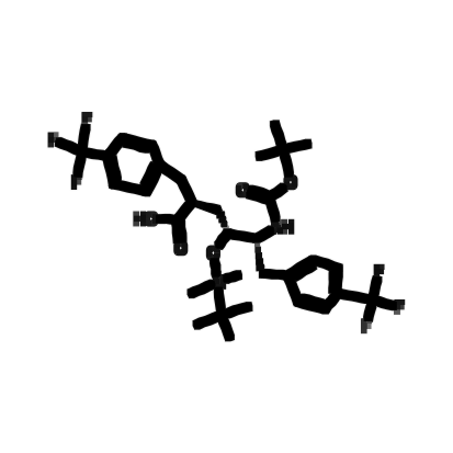 CC(C)(C)OC(=O)N[C@H](Cc1ccc(C(F)(F)F)cc1)[C@@H](C[C@H](Cc1ccc(C(F)(F)F)cc1)C(=O)O)O[Si](C)(C)C(C)(C)C